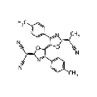 C/C(C#N)=c1\nc(-c2ccc(C)cc2)/c(=c2\oc(=C(C#N)C#N)nc2-c2ccc(C)cc2)o1